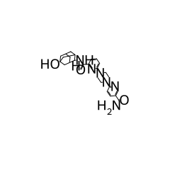 NC(=O)c1ccc(N2CCN(c3cccc(C(=O)N[C@H]4C5CC6CC4C[C@](O)(C6)C5)n3)CC2)nc1